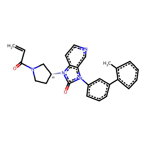 C=CC(=O)N1CC[C@@H](n2c(=O)n(-c3cccc(-c4ccccc4C)c3)c3cnccc32)C1